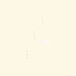 CCCCCCCI.N